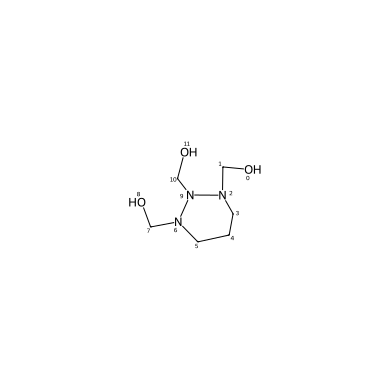 OCN1CCCN(CO)N1CO